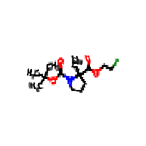 CC(C)(C)OC(=O)N1CCCC1(C)C(=O)OCCF